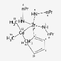 CCC[NH][Zr]([NH]CCC)([NH]CCC)([C]1=CC=CC1)[Ge]([CH3])([CH3])[CH3]